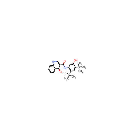 C[Si](C)(C)c1cc([Si](C)(C)C)c(NC(=O)c2c[nH]c3ccccc3c2=O)cc1O